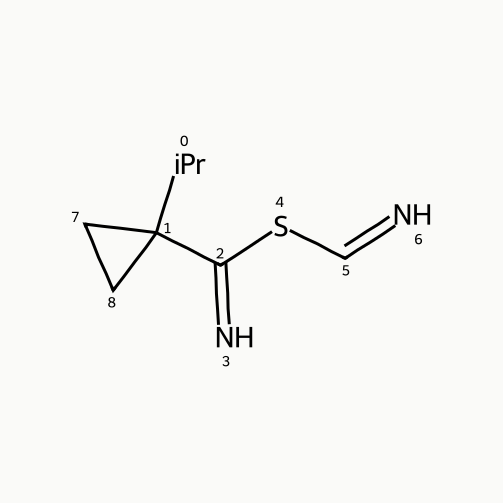 CC(C)C1(C(=N)SC=N)CC1